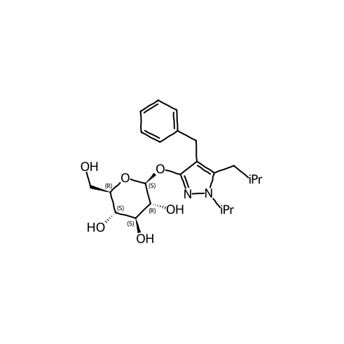 CC(C)Cc1c(Cc2ccccc2)c(O[C@@H]2O[C@H](CO)[C@@H](O)[C@H](O)[C@H]2O)nn1C(C)C